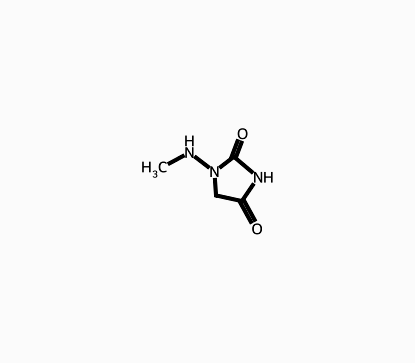 CNN1CC(=O)NC1=O